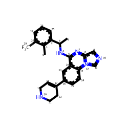 Cc1c(C(C)Nc2nc3cncn3c3ccc(C4=CCNCC4)cc23)cccc1C(F)(F)F